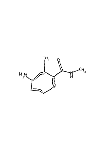 CNC(=O)c1nccc(N)c1C